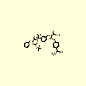 CC(C)(C)OC(=O)N[C@H](Cc1ccccc1)C(=O)NC(=N)c1cccc(C[C@H](NCc2ccc(C(=N)N)cc2)C(=O)O)c1